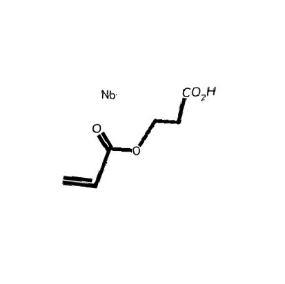 C=CC(=O)OCCC(=O)O.[Nb]